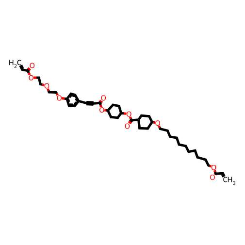 C=CC(=O)OCCCCCCCCCCCOC1CCC(C(=O)OC2CCC(OC(=O)C#Cc3ccc(OCCOCCOC(=O)C=C)cc3)CC2)CC1